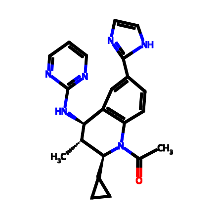 CC(=O)N1c2ccc(-c3ncc[nH]3)cc2[C@H](Nc2ncccn2)[C@@H](C)[C@@H]1C1CC1